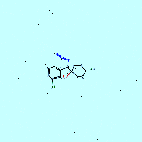 [N-]=[N+]=N[C@@H](c1cccc(Cl)c1)[C@]1(O)CC[C@H](F)CC1